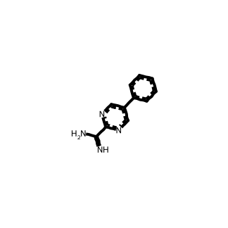 N=C(N)c1ncc(-c2ccccc2)cn1